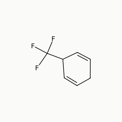 FC(F)(F)C1C=CCC=C1